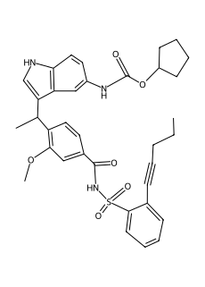 CCCC#Cc1ccccc1S(=O)(=O)NC(=O)c1ccc(C(C)c2c[nH]c3ccc(NC(=O)OC4CCCC4)cc23)c(OC)c1